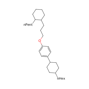 CCCCCCC1CCC(c2ccc(OCCCC3CCCCC3CCCCC)cc2)CC1